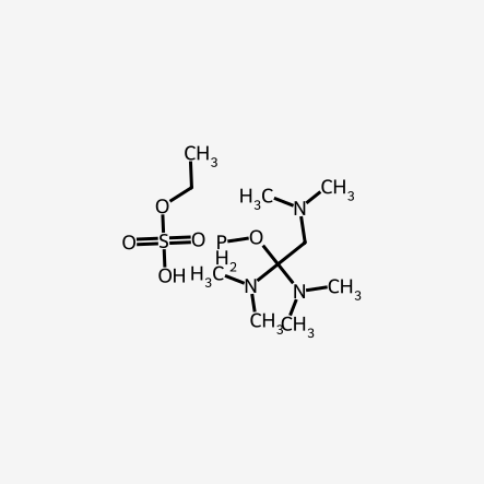 CCOS(=O)(=O)O.CN(C)CC(OP)(N(C)C)N(C)C